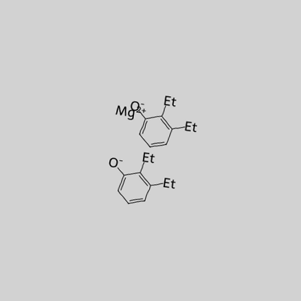 CCc1cccc([O-])c1CC.CCc1cccc([O-])c1CC.[Mg+2]